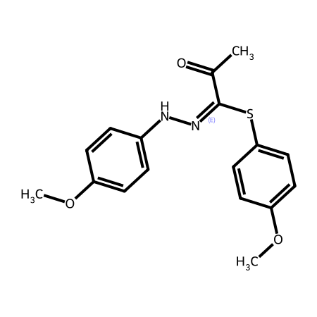 COc1ccc(N/N=C(/Sc2ccc(OC)cc2)C(C)=O)cc1